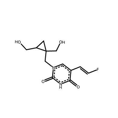 O=c1[nH]c(=O)n(CC2(CO)CC2CO)cc1C=CF